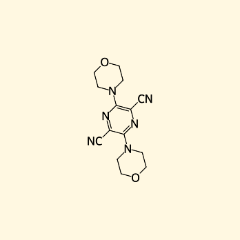 N#Cc1nc(N2CCOCC2)c(C#N)nc1N1CCOCC1